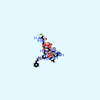 CC(C)C[C@H](NC(=O)[C@@H]1C[C@H](O/N=C\CCc2ccccc2)CN1C(=O)CCOCCOCCNC(=O)[C@@H](N)CS)C(=O)N[C@@H](Cc1cnc[nH]1)C(=O)N[C@@H](CO)C(=O)N[C@H](C(N)=O)C(C)OP(=O)(O)O